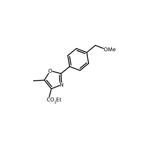 CCOC(=O)c1nc(-c2ccc(COC)cc2)oc1C